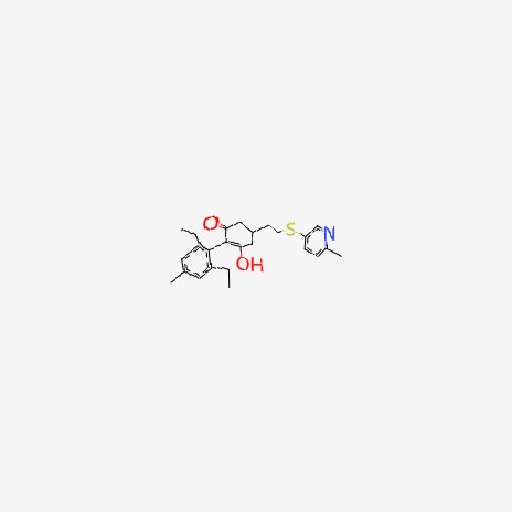 CCc1cc(C)cc(CC)c1C1=C(O)CC(CCSc2ccc(C)nc2)CC1=O